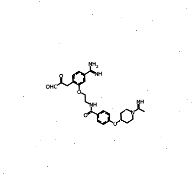 CC(=N)N1CCC(Oc2ccc(C(=O)NCCOc3cc(C(=N)N)ccc3CC(=O)C=O)cc2)CC1